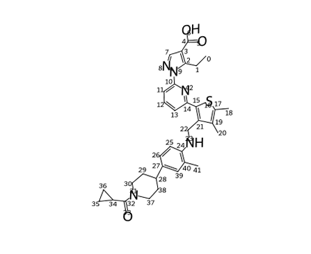 CCc1c(C(=O)O)cnn1-c1cccc(-c2sc(C)c(C)c2CNc2ccc(C3CCN(C(=O)C4CC4)CC3)cc2C)n1